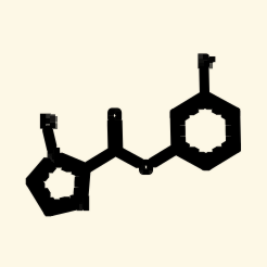 CCn1ccnc1C(=O)Oc1cccc(Br)c1